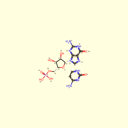 Nc1cc[nH]c(=O)n1.Nc1nc2c(ncn2[C@@H]2O[C@H](COP(=O)(O)O)[C@@H](O)[C@H]2O)c(=O)[nH]1